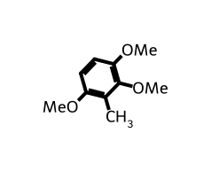 COc1ccc(OC)c(OC)c1C